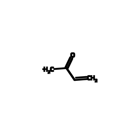 [CH2]C(=O)C=C